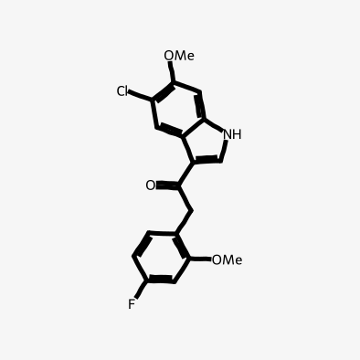 COc1cc2[nH]cc(C(=O)Cc3ccc(F)cc3OC)c2cc1Cl